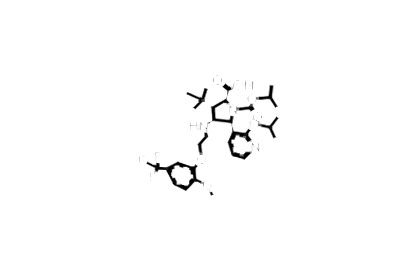 COc1ccc(C(F)(F)F)cc1OCCN[C@H]1[C@H](C(C)(C)C)[C@@H](C(=O)O)N(C(=O)OC(C)C)[C@H]1c1cccnc1OC(C)C